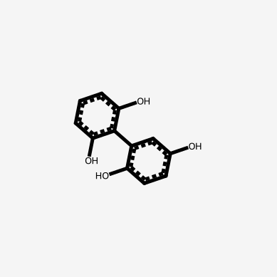 Oc1ccc(O)c(-c2c(O)cccc2O)c1